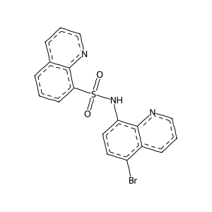 O=S(=O)(Nc1ccc(Br)c2cccnc12)c1cccc2cccnc12